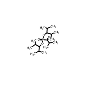 CC(C)C(=O)P(=O)(OC(C(C)C)C(C)C)OC(C(C)C)C(C)C